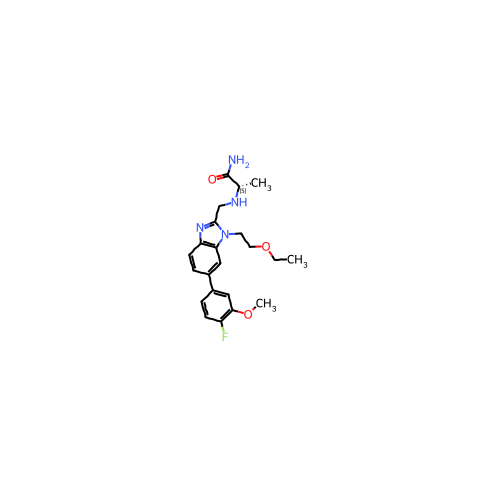 CCOCCn1c(CN[C@@H](C)C(N)=O)nc2ccc(-c3ccc(F)c(OC)c3)cc21